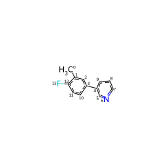 Cc1cc(-c2[c]nccc2)ccc1F